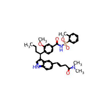 CCCC(c1ccc(C(=O)NS(=O)(=O)c2ccccc2C)cc1OC)c1c[nH]c2ccc(/C=C/CC(=O)N(C)C)cc12